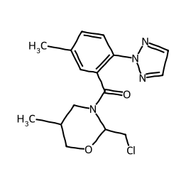 Cc1ccc(-n2nccn2)c(C(=O)N2CC(C)COC2CCl)c1